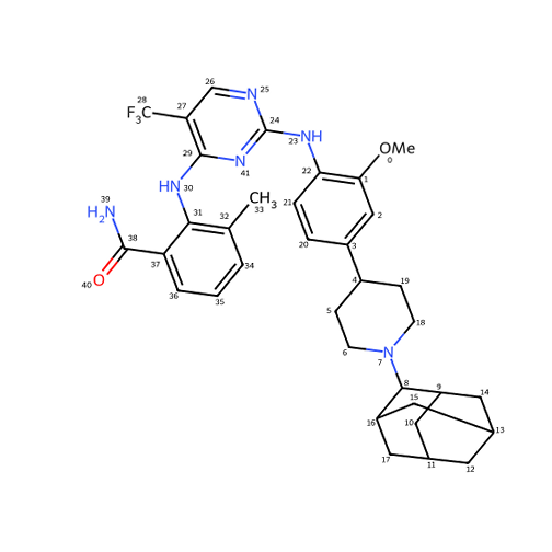 COc1cc(C2CCN(C3C4CC5CC(C4)CC3C5)CC2)ccc1Nc1ncc(C(F)(F)F)c(Nc2c(C)cccc2C(N)=O)n1